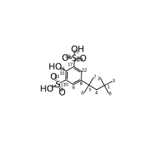 CC(C)(C)CC(C)(C)c1cc(S(=O)(=O)O)c(O)c(S(=O)(=O)O)c1